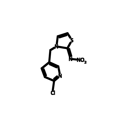 O=[N+]([O-])N=c1sccn1Cc1ccc(Cl)nc1